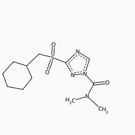 CN(C)C(=O)n1cnc(S(=O)(=O)CC2CCCCC2)n1